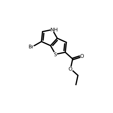 CCOC(=O)c1cc2[nH]cc(Br)c2s1